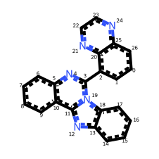 c1cc(-c2nc3ccccc3c3nc4ccccc4n23)c2nccnc2c1